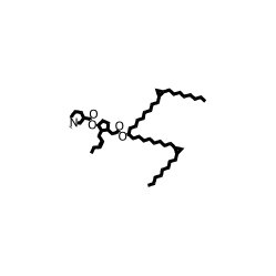 CC/C=C\CC1C(CC(=O)OC(CCCCCCCCC2CC2CCCCCCCC)CCCCCCCCC2CC2CCCCCCCC)CC[C@@H]1OC(=O)C1CCCN(C)C1